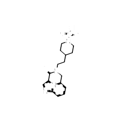 O=C1c2cnc3cccc(n23)CN1CCC1CCN(S(=O)(=O)C(F)(F)F)CC1